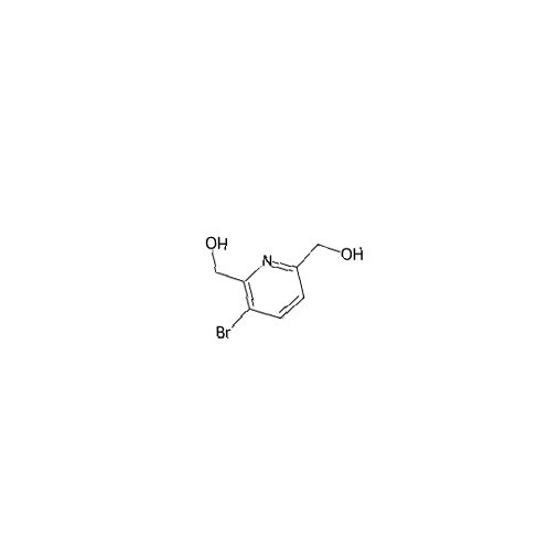 OCc1ccc(Br)c(CO)n1